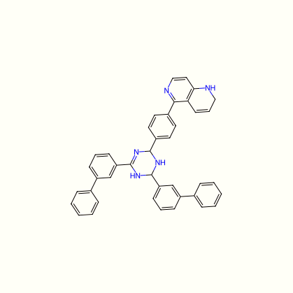 C1=Cc2c(ccnc2-c2ccc(C3N=C(c4cccc(-c5ccccc5)c4)NC(c4cccc(-c5ccccc5)c4)N3)cc2)NC1